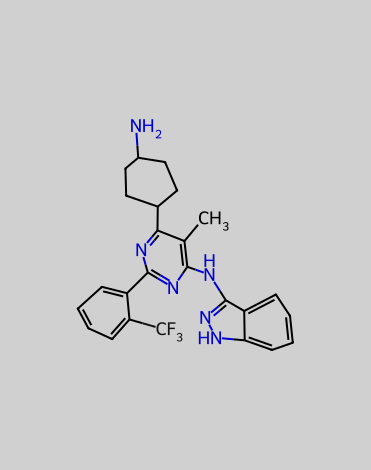 Cc1c(Nc2n[nH]c3ccccc23)nc(-c2ccccc2C(F)(F)F)nc1C1CCC(N)CC1